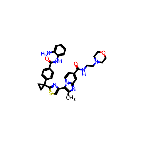 Cc1nc2cc(C(=O)NCCN3CCOCC3)ccn2c1-c1csc(C2(c3ccc(C(=O)Nc4ccccc4N)cc3)CC2)n1